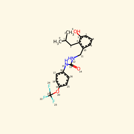 CC(C)Cc1c(O)cccc1CNC(=O)Nc1ccc(OC(F)(F)F)cc1